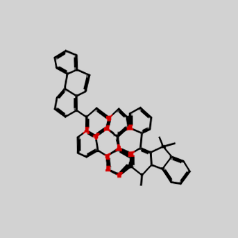 CC1C=CC(c2ccccc2N(c2ccc(-c3cccc4c3ccc3ccccc34)cc2)c2ccccc2-c2ccccc2-c2ccccc2-c2ccccc2)=C2C1c1ccccc1C2(C)C